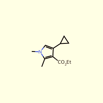 CCOC(=O)c1c(C2CC2)cn(C)c1C